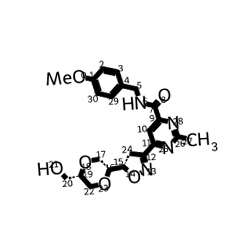 COc1ccc(CNC(=O)c2cc(C3=NO[C@H]([C@H]4CO[C@@H](CO)CO4)C3)nc(C)n2)cc1